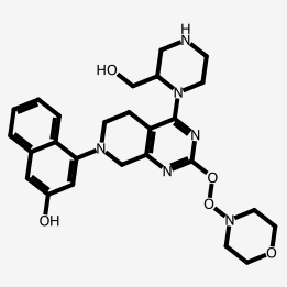 OCC1CNCCN1c1nc(OON2CCOCC2)nc2c1CCN(c1cc(O)cc3ccccc13)C2